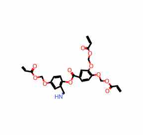 C=CC(=O)OCOc1ccc(OC(=O)c2ccc(OCOC(=O)C=C)c(OCOC(=O)C=C)c2)c(C=N)c1